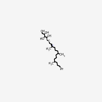 C/C(=C\COCC(O)C(O)C(O)CO)CCCC(C)CCCC(C)CCCC(C)C